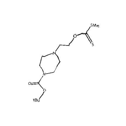 CSC(=S)OCCN1CCN(C(=O)OC(C)(C)C)CC1